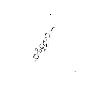 CCCCC1CCC(CSc2ccc(OC(=O)C3CCC(C)CC3)c(F)c2F)CC1